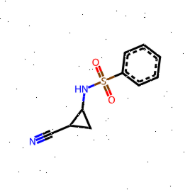 N#CC1CC1NS(=O)(=O)c1ccccc1